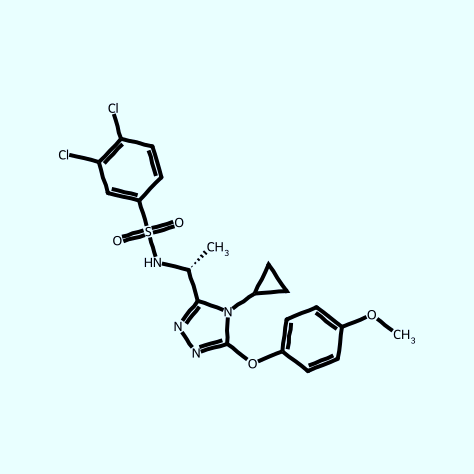 COc1ccc(Oc2nnc([C@@H](C)NS(=O)(=O)c3ccc(Cl)c(Cl)c3)n2C2CC2)cc1